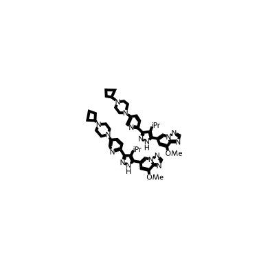 COc1cc(-c2[nH]nc(-c3ccc(N4CCN(C5CCC5)CC4)cn3)c2C(C)C)cn2ncnc12.COc1cc(-c2[nH]nc(-c3ccc(N4CCN(C5CCC5)CC4)cn3)c2C(C)C)cn2ncnc12